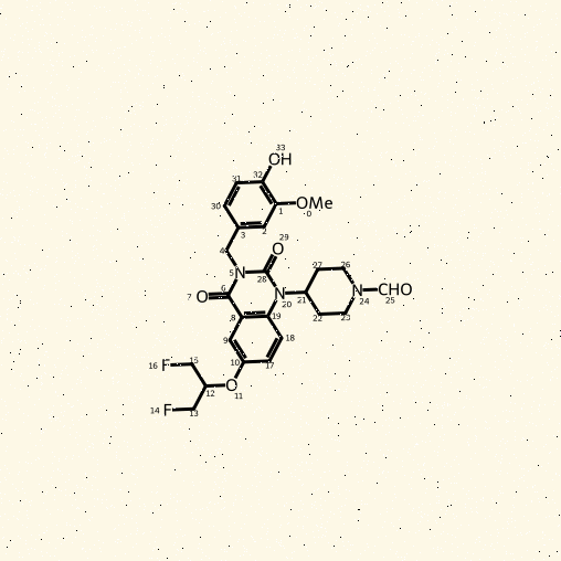 COc1cc(Cn2c(=O)c3cc(OC(CF)CF)ccc3n(C3CCN(C=O)CC3)c2=O)ccc1O